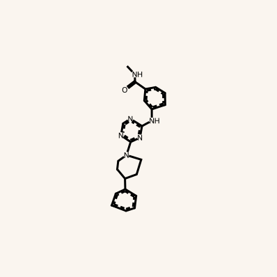 CNC(=O)c1cccc(Nc2ncnc(N3CCC(c4ccccc4)CC3)n2)c1